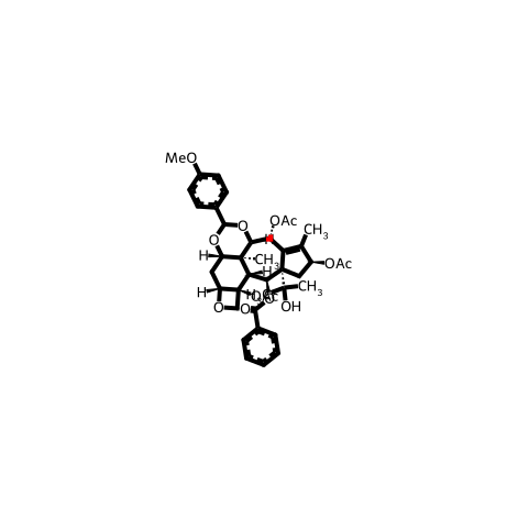 COc1ccc(C2O[C@H]3C[C@H]4OC[C@@]4(OC(C)=O)[C@H]4[C@H](OC(=O)c5ccccc5)[C@]5(C(C)(C)O)C[C@H](OC(C)=O)C(C)=C5[C@@H](OC(C)=O)[C@H](O2)[C@]34C)cc1